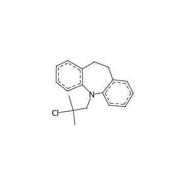 CC(C)(Cl)CN1c2ccccc2CCc2ccccc21